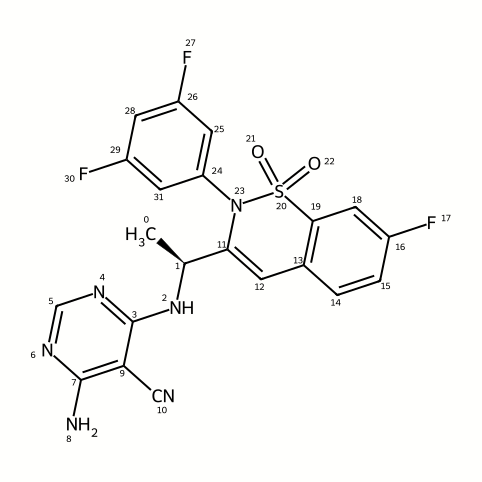 C[C@H](Nc1ncnc(N)c1C#N)C1=Cc2ccc(F)cc2S(=O)(=O)N1c1cc(F)cc(F)c1